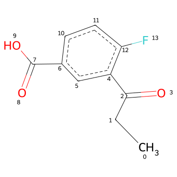 CCC(=O)c1cc(C(=O)O)ccc1F